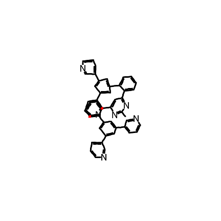 Cc1nc(-c2ccccc2-c2cc(-c3cccnc3)cc(-c3cccnc3)c2)cc(-c2ccccc2-c2cc(-c3cccnc3)cc(-c3cccnc3)c2)n1